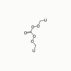 O=C(OO[CH2][U])OO[CH2][U]